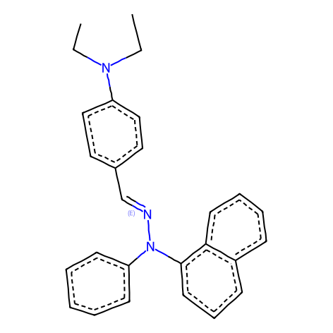 CCN(CC)c1ccc(/C=N/N(c2ccccc2)c2cccc3ccccc23)cc1